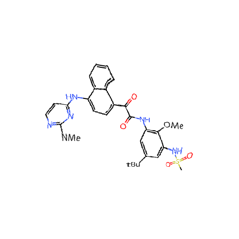 CNc1nccc(Nc2ccc(C(=O)C(=O)Nc3cc(C(C)(C)C)cc(NS(C)(=O)=O)c3OC)c3ccccc23)n1